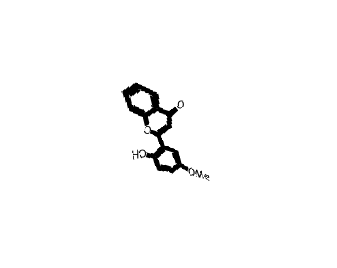 COc1ccc(O)c(-c2cc(=O)c3ccccc3o2)c1